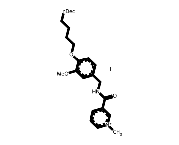 CCCCCCCCCCCCCCOc1ccc(CNC(=O)c2ccc[n+](C)c2)cc1OC.[I-]